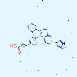 C=C(/C=C\C(=C/C)C1c2ccc(-c3cn[nH]c3)cc2CCN1c1ccccc1)/C=C/C(=O)O